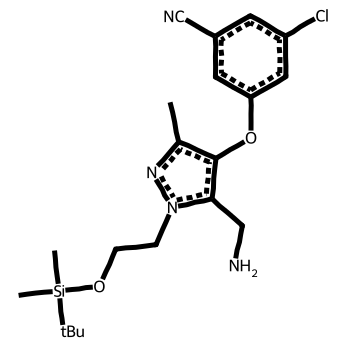 Cc1nn(CCO[Si](C)(C)C(C)(C)C)c(CN)c1Oc1cc(Cl)cc(C#N)c1